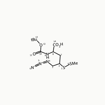 CSSC(CN=[N+]=[N-])CC(NC(=O)OC(C)(C)C)C(=O)O